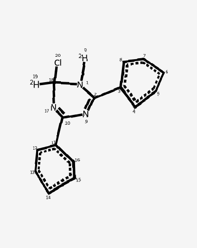 [2H]N1C(c2ccccc2)=NC(c2ccccc2)=NC1([2H])Cl